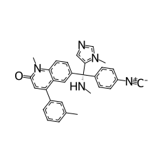 [C-]#[N+]c1ccc([C@@](NC)(c2ccc3c(c2)c(-c2cccc(C)c2)cc(=O)n3C)c2cncn2C)cc1